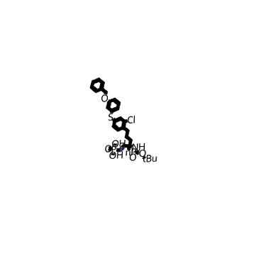 CCCC(/C=C/P(=O)(O)O)(CCCc1ccc(Sc2cccc(OCc3ccccc3)c2)cc1Cl)NC(=O)OC(C)(C)C